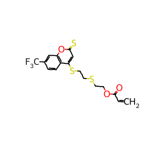 C=CC(=O)OCCSCCSc1cc(=S)oc2cc(C(F)(F)F)ccc12